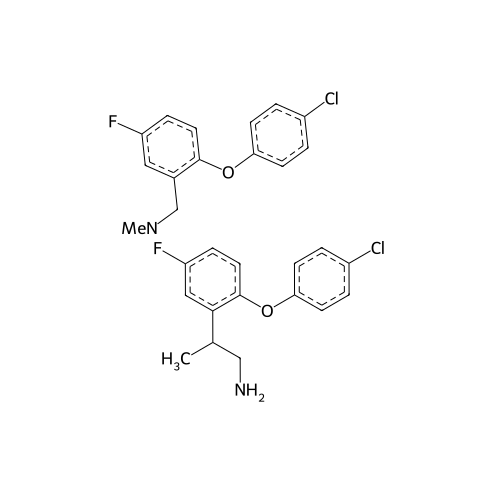 CC(CN)c1cc(F)ccc1Oc1ccc(Cl)cc1.CNCc1cc(F)ccc1Oc1ccc(Cl)cc1